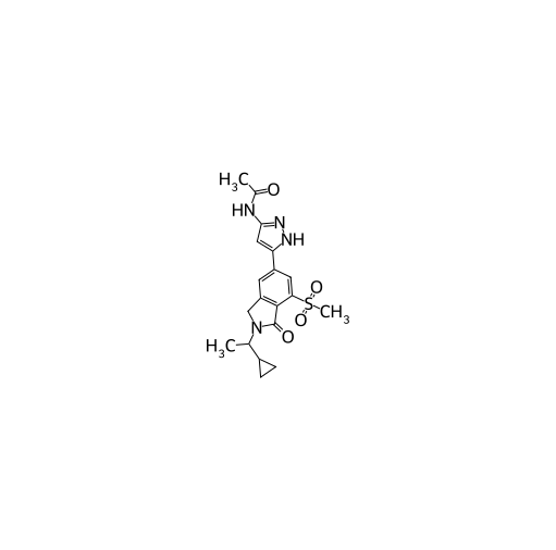 CC(=O)Nc1cc(-c2cc3c(c(S(C)(=O)=O)c2)C(=O)N(C(C)C2CC2)C3)[nH]n1